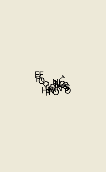 CS(=O)(=O)CC(=O)Nc1c2c(nn1CCC1CC1)C[C@@]1(NC2=O)c2ccc(OCC(F)(F)F)cc2CC1(F)F